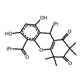 CC(C)C(=O)c1c(O)cc(O)c2c1OC1=C(C(=O)C(C)(C)C(=O)C1(C)C)C2C(C)C